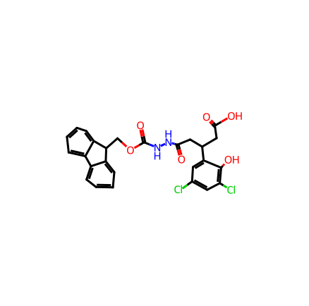 O=C(O)CC(CC(=O)NNC(=O)OCC1c2ccccc2-c2ccccc21)c1cc(Cl)cc(Cl)c1O